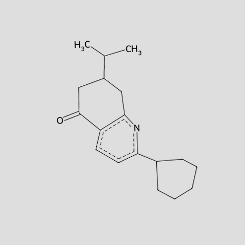 CC(C)C1CC(=O)c2ccc(C3CCCCC3)nc2C1